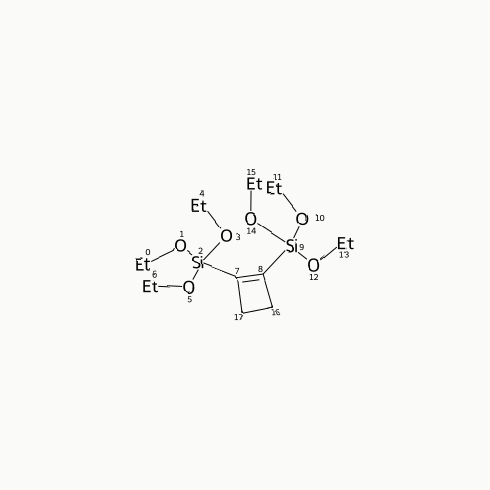 CCO[Si](OCC)(OCC)C1=C([Si](OCC)(OCC)OCC)CC1